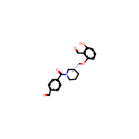 O=Cc1ccc(C(=O)N2CCC[C@@H](COc3cccc(O)c3C=O)C2)cc1